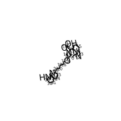 Cc1ncc2cccc(C(C(=O)O)N3CC(OCCCCCc4ccc5c(n4)NCCC5)C3)n12